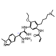 C=CC(=O)Nc1cc(NC(=N)/C=C(\NN)c2ccc3c(cnn3C)c2)c(OCC)cc1CCCCN(C)C